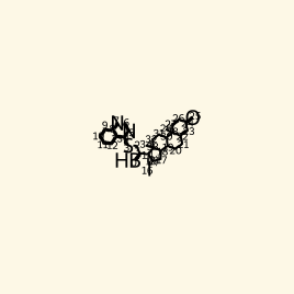 B=C(CSc1ncnc2ccccc12)C1[C@H](I)CC2C3CCC4=CC(=O)C=CC4(C)C3CCC21C